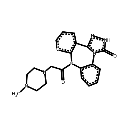 CN1CCN(CC(=O)N2c3ccccc3-n3c(n[nH]c3=O)-c3cccnc32)CC1